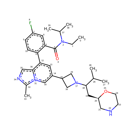 CCN(C(=O)c1cc(F)ccc1-c1cc(C2CN(C(C[C@@H]3CNCCO3)C(C)C)C2)cn2c(C)ncc12)C(C)C